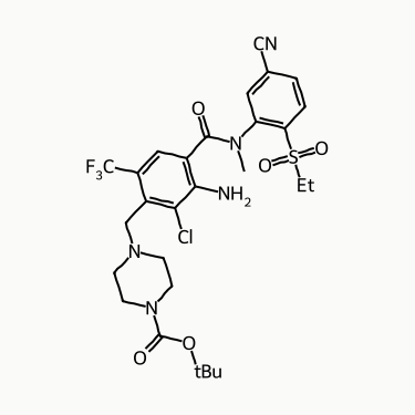 CCS(=O)(=O)c1ccc(C#N)cc1N(C)C(=O)c1cc(C(F)(F)F)c(CN2CCN(C(=O)OC(C)(C)C)CC2)c(Cl)c1N